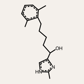 Cc1nc(C(O)CCCCc2c(C)cccc2C)c[nH]1